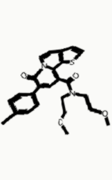 COCCN(CCOC)C(=O)c1cc(-c2ccc(C)cc2)c(=O)n2ccc3ccsc3c12